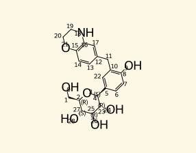 OC[C@H]1O[C@@H](c2ccc(O)c(Cc3ccc4c(c3)NCCO4)c2)[C@H](O)[C@@H](O)[C@@H]1O